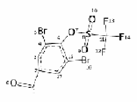 O=Cc1cc(Br)c(OS(=O)(=O)C(F)(F)F)c(Br)c1